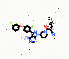 CC(C)(C)/C=C(/C#N)C(=O)N1CCCC(n2nc(-c3ccc(Oc4cccc(F)c4F)cc3F)c3c(N)ncnc32)C1